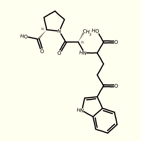 C[C@H](NC(CCC(=O)c1c[nH]c2ccccc12)C(=O)O)C(=O)N1CCC[C@H]1C(=O)O